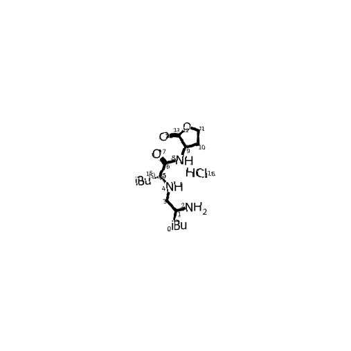 CCC(C)C(N)CN[C@H](C(=O)NC1CCOC1=O)[C@@H](C)CC.Cl